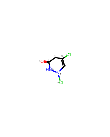 O=C1CC(Cl)=CN(Cl)N1